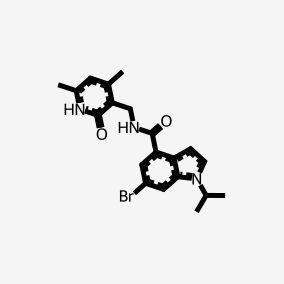 Cc1cc(C)c(CNC(=O)c2cc(Br)cc3c2ccn3C(C)C)c(=O)[nH]1